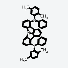 Cc1ccc(C)c(N(c2ccccc2)c2cccc3c2c2cccc4c5c(N(c6ccccc6)c6cc(C)ccc6C)cccc5n3c24)c1